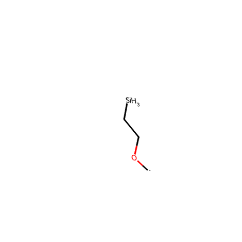 [CH2]OCC[SiH3]